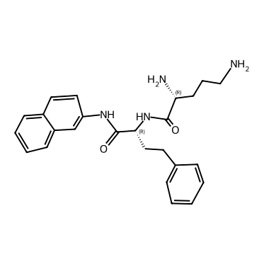 NCCC[C@@H](N)C(=O)N[C@H](CCc1ccccc1)C(=O)Nc1ccc2ccccc2c1